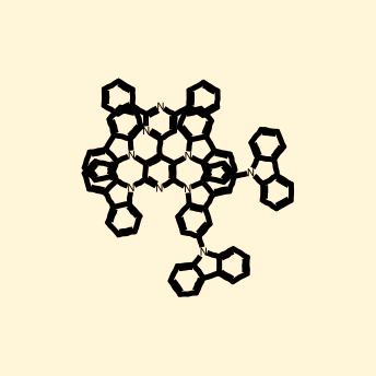 c1ccc(-c2cc(-c3c(-n4c5ccccc5c5ccccc54)c(-n4c5ccccc5c5ccccc54)nc(-n4c5ccc(-n6c7ccccc7c7ccccc76)cc5c5cc(-n6c7ccccc7c7ccccc76)ccc54)c3-n3c4ccccc4c4ccccc43)nc(-c3ccccc3)n2)cc1